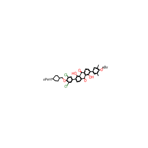 CCCCCC1CCC(COc2c(Cl)cc(-c3ccc4c(c3O)C(=O)c3ccc(-c5cc(C)c(OCCCC)c(C)c5)c(O)c3C4=O)cc2Cl)CC1